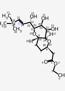 CCOC(=O)C[C@H]1CC[C@@H]2O[C@@H]([C@@H](O)/C=C/[Si](C)(C)C)[C@@H](O)[C@@H](O)[C@H]2O1